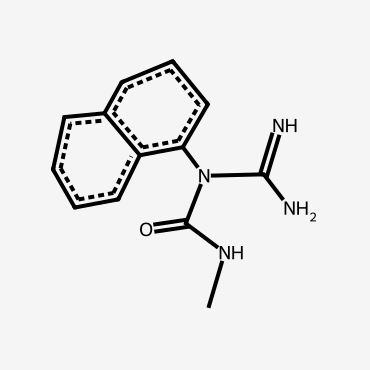 CNC(=O)N(C(=N)N)c1cccc2ccccc12